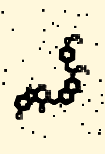 CCc1nc2ccc(Cl)cn2c1C(=O)NCc1ccc2ncc(N(C)Cc3ccc(OC(F)(F)F)cc3)cc2c1